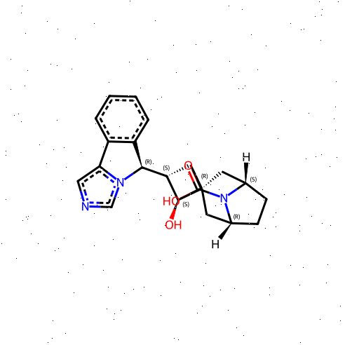 O=C(O)N1[C@@H]2CC[C@H]1C[C@]1(C[C@@H]([C@@H]3c4ccccc4-c4cncn43)[C@@H]1O)C2